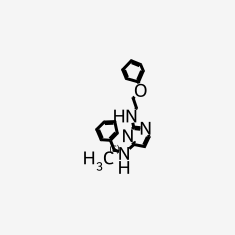 C[C@H](Nc1ccnc(NCCOc2ccccc2)n1)c1ccccc1